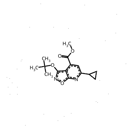 COC(=O)c1cc(C2CC2)nc2onc(OC(C)(C)C)c12